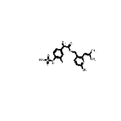 CC(C)=Cc1nc(C(F)(F)F)ccc1CNC(=O)C(C)c1ccc(NS(C)(=O)=O)c(F)c1